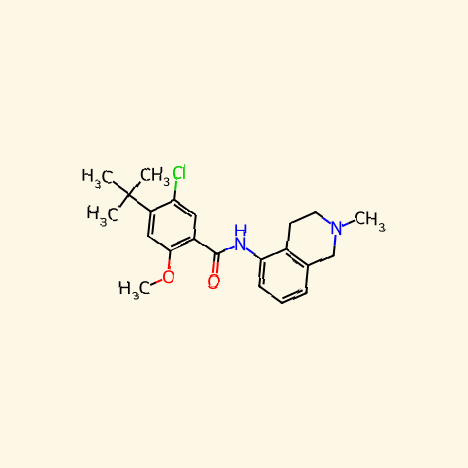 COc1cc(C(C)(C)C)c(Cl)cc1C(=O)Nc1cccc2c1CCN(C)C2